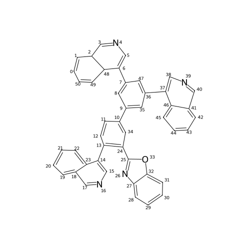 C1=CC2C=NC=C(c3cc(-c4ccc(-c5cncc6ccccc56)c(-c5nc6ccccc6o5)c4)cc(-c4cncc5ccccc45)c3)C2C=C1